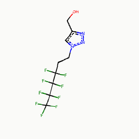 OCc1cn(CCC(F)(F)C(F)(F)C(F)(F)C(F)(F)F)nn1